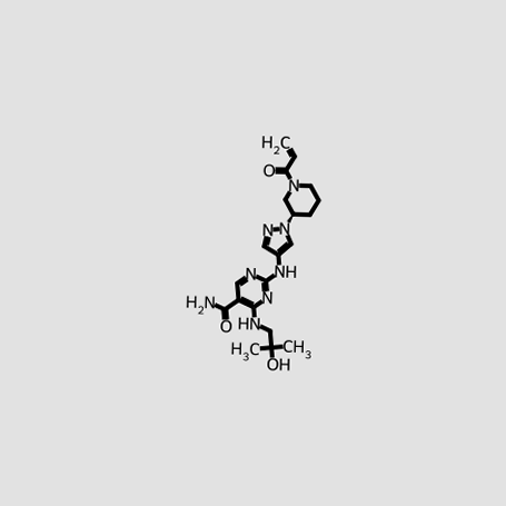 C=CC(=O)N1CCC[C@@H](n2cc(Nc3ncc(C(N)=O)c(NCC(C)(C)O)n3)cn2)C1